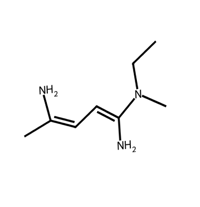 CCN(C)/C(N)=C/C=C(/C)N